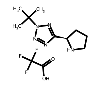 CC(C)(C)n1nnc([C@H]2CCCN2)n1.O=C(O)C(F)(F)F